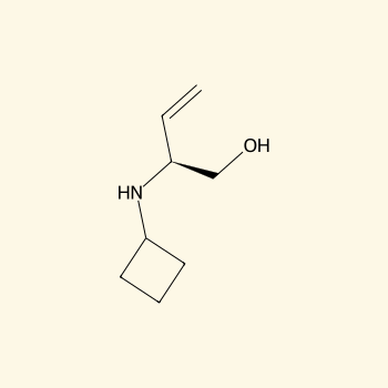 C=C[C@@H](CO)NC1CCC1